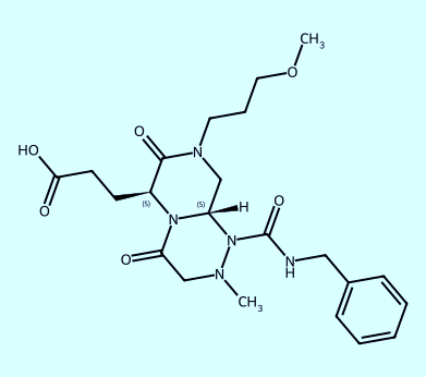 COCCCN1C[C@H]2N(C(=O)CN(C)N2C(=O)NCc2ccccc2)[C@@H](CCC(=O)O)C1=O